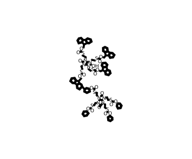 O=C(OCC1c2ccccc2-c2ccccc21)SCCN1C(=O)N(CCSC(=O)OCC2c3ccccc3-c3ccc(-c4cccc(OC(=O)SCCN5C(=O)N(CCSC(=O)Oc6ccccc6)C6C5N(CCSC(=O)Oc5ccccc5)C(=O)N6CCSC(=O)Oc5ccccc5)c4)cc32)C2C1N(CCSC(=O)OCC1c3ccccc3-c3ccccc31)C(O)N2CCSC(=O)OCC1c2ccccc2-c2ccccc21